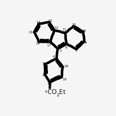 CCOC(=O)c1ccc(C2=C3C=CC=CC3c3ccccc32)cc1